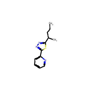 CCCC(C)c1nnc(-c2ccccn2)s1